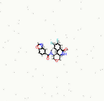 CN(C(=O)c1ccc2ocnc2c1)C1COCc2[nH]c(=O)c3cc(F)c(F)cc3c21